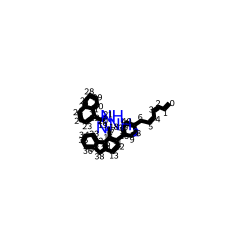 C=C/C=C\C=C/Cc1ccc(-c2ccc3c(c2/C(N)=N/C(=N)c2cccc4ccccc24)-c2ccccc2C3)cc1